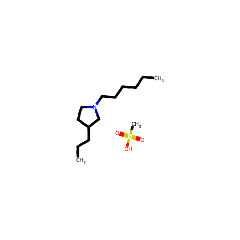 CCCCCCN1CCC(CCC)C1.CS(=O)(=O)O